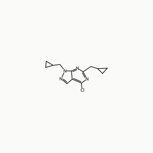 Clc1nc(CC2CC2)nc2c1cnn2CC1CC1